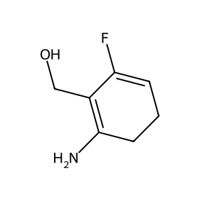 NC1=C(CO)C(F)=CCC1